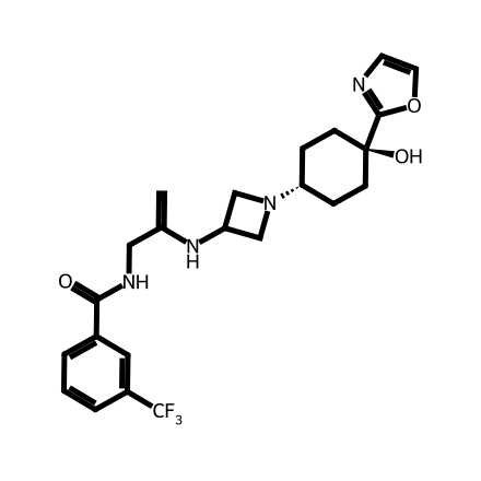 C=C(CNC(=O)c1cccc(C(F)(F)F)c1)NC1CN([C@H]2CC[C@@](O)(c3ncco3)CC2)C1